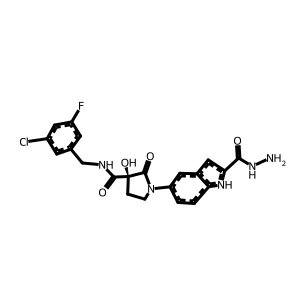 NNC(=O)c1cc2cc(N3CC[C@](O)(C(=O)NCc4cc(F)cc(Cl)c4)C3=O)ccc2[nH]1